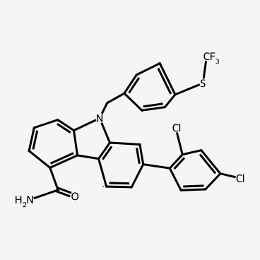 NC(=O)c1cccc2c1c1[c]cc(-c3ccc(Cl)cc3Cl)cc1n2Cc1ccc(SC(F)(F)F)cc1